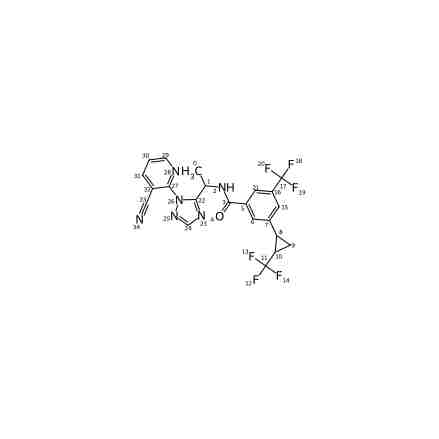 CC(NC(=O)c1cc(C2CC2C(F)(F)F)cc(C(F)(F)F)c1)c1ncnn1-c1ncccc1C#N